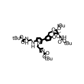 CC(C)(C)OC(=O)NCCNc1ccc(-c2ccc3c(c2)CC[C@H]([C@](C)(ONC(=O)OC(C)(C)C)C(=O)OC(C)(C)C)O3)c[n+]1CC1CN(C(=O)OC(C)(C)C)C1